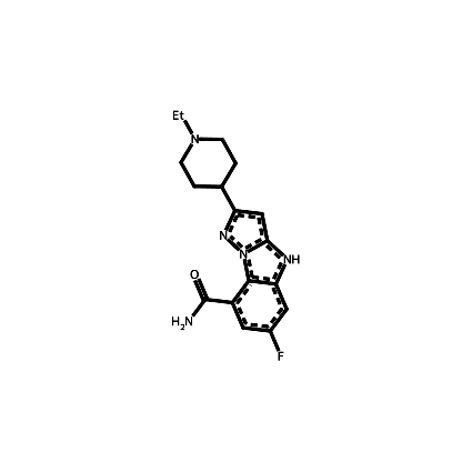 CCN1CCC(c2cc3[nH]c4cc(F)cc(C(N)=O)c4n3n2)CC1